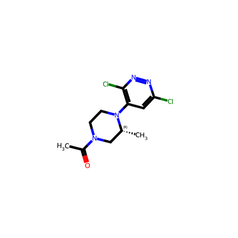 CC(=O)N1CCN(c2cc(Cl)nnc2Cl)[C@H](C)C1